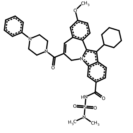 COc1ccc2c(c1)C=C(C(=O)N1CCN(c3ccccc3)CC1)Cn1c-2c(C2CCCCC2)c2ccc(C(=O)NS(=O)(=O)N(C)C)cc21